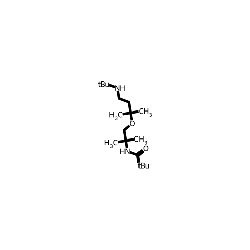 CC(C)(C)NCCC(C)(C)OCC(C)(C)NC(=O)C(C)(C)C